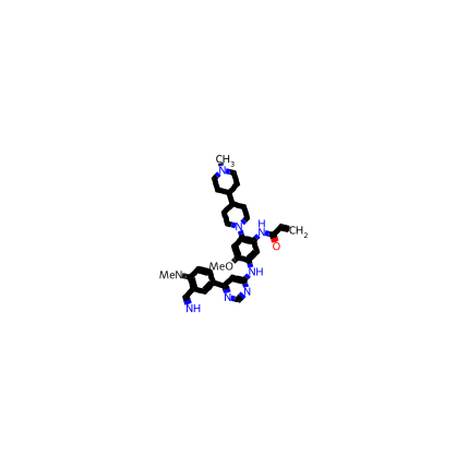 C=CC(=O)Nc1cc(Nc2cc(-c3ccc(NC)c(C=N)c3)ncn2)c(OC)cc1N1CCC(C2CCN(C)CC2)CC1